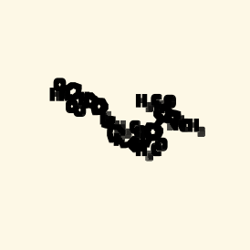 COc1cc(-c2cn(C)c(=O)c3cn(C)nc23)cc(OC)c1CN1CC(CN2CCC3(CC2)CN(c2ccc4c(c2)C(=O)N(C2CCC(=O)NC2=O)C4)C3)C1